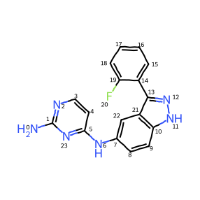 Nc1nccc(Nc2ccc3[nH]nc(-c4ccccc4F)c3c2)n1